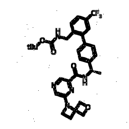 C[C@@H](NC(=O)c1cncc(N2CCC23COC3)n1)c1ccc(-c2cc(C(F)(F)F)ccc2CNC(=O)OC(C)(C)C)cc1